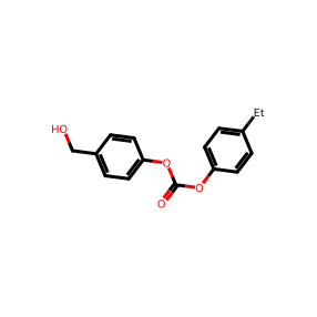 CCc1ccc(OC(=O)Oc2ccc(CO)cc2)cc1